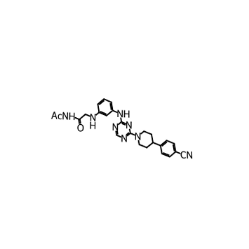 CC(=O)NC(=O)CNc1cccc(Nc2ncnc(N3CCC(c4ccc(C#N)cc4)CC3)n2)c1